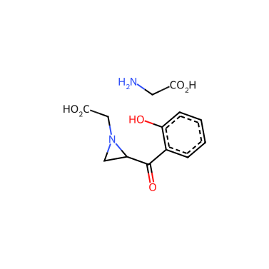 NCC(=O)O.O=C(O)CN1CC1C(=O)c1ccccc1O